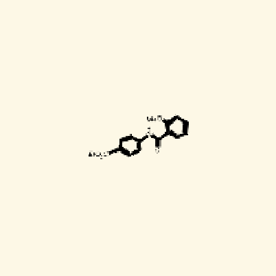 CCOC(=O)c1ccc(NC(=O)c2ccccc2OC)cc1